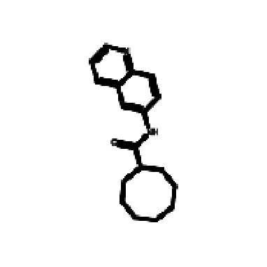 O=C(Nc1ccc2ncccc2c1)C1CCCCCCC1